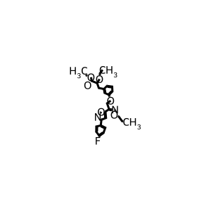 CCCON=C(COc1cccc(CC(OCC)C(=O)OCC)c1)c1cc(-c2ccc(F)cc2)no1